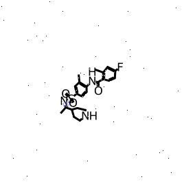 C/C(=N/S(=O)(=O)c1ccc(NC(=O)c2ccc(F)cc2C)c(C)c1)C1CCNCC1